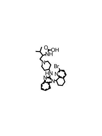 CC(C)C(CN1CCC(Nc2nc3ccccc3n2C2CCCc3ccc(Br)nc32)CC1)NC(=O)O